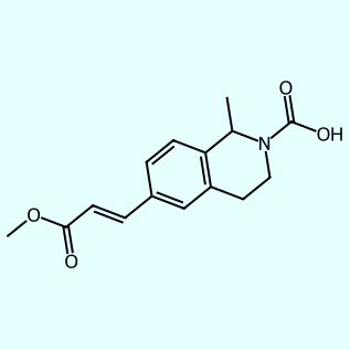 COC(=O)C=Cc1ccc2c(c1)CCN(C(=O)O)C2C